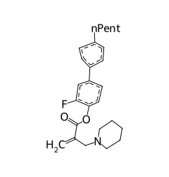 C=C(CN1CCCCC1)C(=O)Oc1ccc(-c2ccc(CCCCC)cc2)cc1F